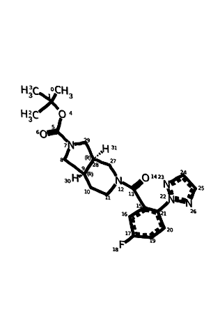 CC(C)(C)OC(=O)N1C[C@@H]2CCN(C(=O)c3cc(F)ccc3-n3nccn3)C[C@@H]2C1